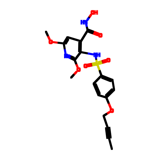 CC#CCOc1ccc(S(=O)(=O)Nc2c(C(=O)NO)cc(OC)nc2OC)cc1